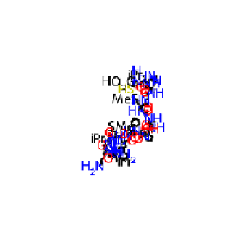 CSCC[C@H](NC(=O)CNC(=O)[C@H](C)NC(=O)[C@@H]1CCCN1C(=O)[C@H](CO)NC(=O)[C@H](Cc1ccccc1)NC(=O)[C@H](Cc1c[nH]c2ccccc12)NC(=O)[C@H](CCSC)NC(=O)[C@@H](NC(=O)[C@H](CCCCN)NC(=O)[C@@H](N)CC(C)C)C(C)C)C(=O)NCC(=O)N[C@@H](Cc1c[nH]cn1)C(=O)N[C@@H](CC(C)C)C(=O)N[C@@H](CS)C(=O)O